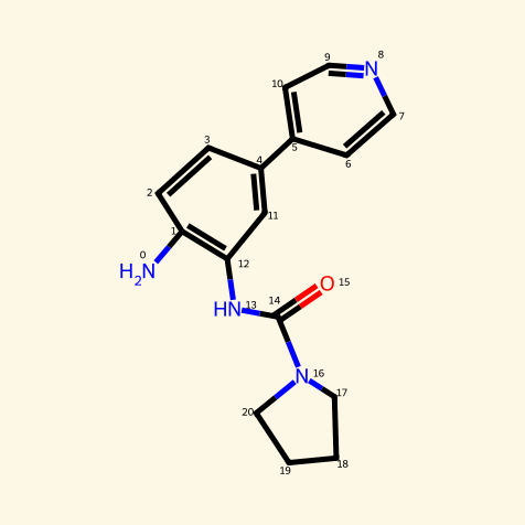 Nc1ccc(-c2ccncc2)cc1NC(=O)N1CCCC1